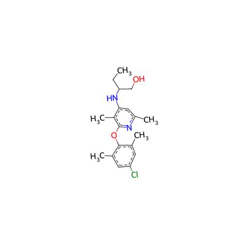 CCC(CO)Nc1cc(C)nc(Oc2c(C)cc(Cl)cc2C)c1C